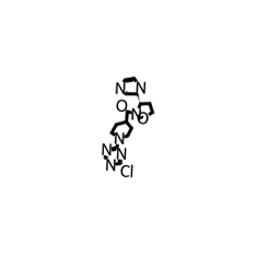 O=C(C1CCN(c2ncnc(Cl)n2)CC1)N1OCC[C@H]1c1cnccn1